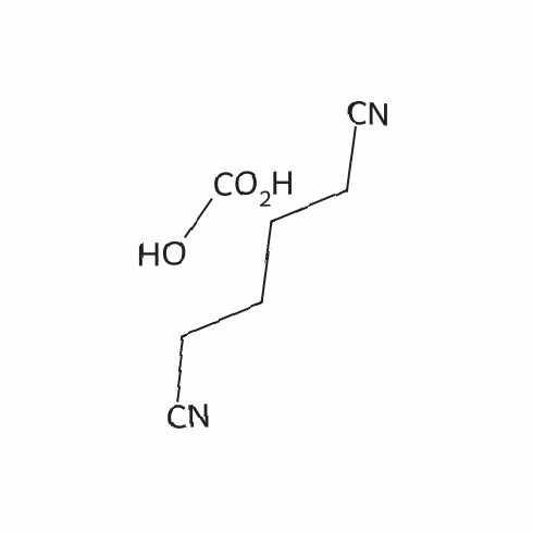 N#CCCCCC#N.O=C(O)O